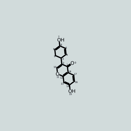 O=c1c(C2C=CC(O)=CC2)coc2cc(O)ccc12